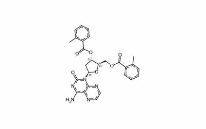 Cc1ccccc1C(=O)OC[C@H]1O[C@@H](n2c(=O)nc(N)c3nccnc32)C[C@@H]1OC(=O)c1ccccc1C